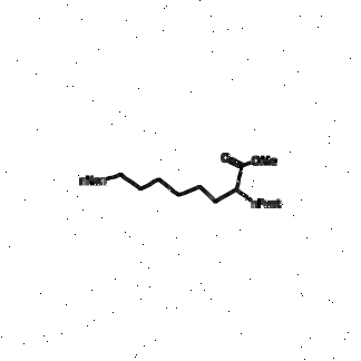 CCCCCCCCCCCCCCCC(CCCCC)C(=O)OC